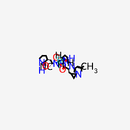 Cc1cncc(N[C@@H](CC2CC2)C(=O)N2[C@H]3CC[C@@H]([C@H]2C(=O)N[C@H](C#N)C[C@@H]2CCCNC2=O)C(F)(F)C3)c1